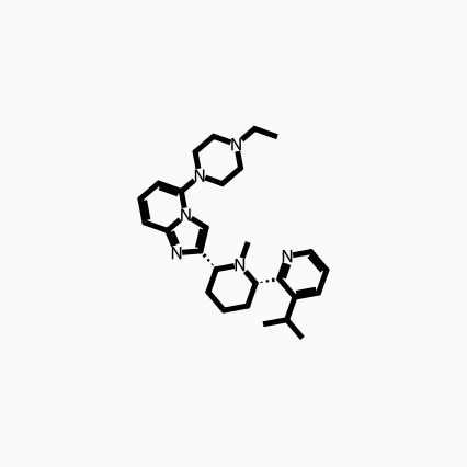 CCN1CCN(c2cccc3nc([C@H]4CCC[C@@H](c5ncccc5C(C)C)N4C)cn23)CC1